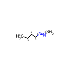 BN=NCCCC